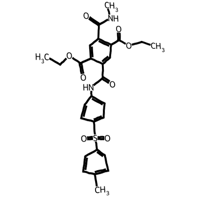 CCOC(=O)c1cc(C(=O)Nc2ccc(S(=O)(=O)c3ccc(C)cc3)cc2)c(C(=O)OCC)cc1C(=O)NC